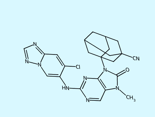 Cn1c(=O)n(C23CC4CC(CC(C#N)(C4)C2)C3)c2nc(Nc3cn4ncnc4cc3Cl)ncc21